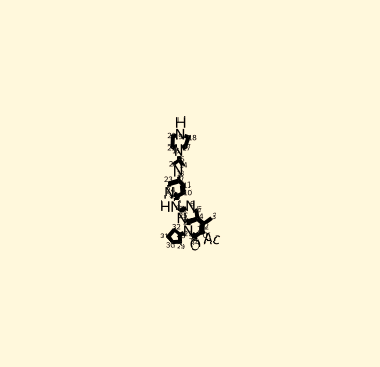 CC(=O)c1c(C)c2cnc(Nc3ccc(N4CC(N5CCNCC5)C4)cn3)nc2n(C2CCCC2)c1=O